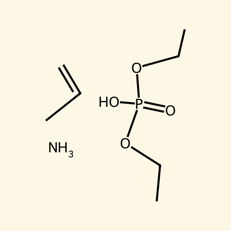 C=CC.CCOP(=O)(O)OCC.N